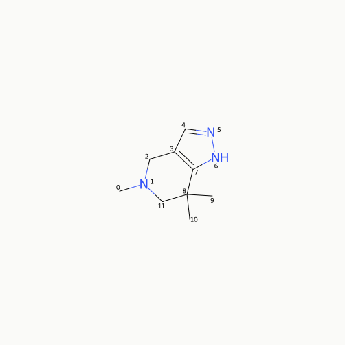 CN1Cc2cn[nH]c2C(C)(C)C1